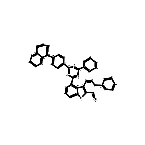 C=Cc1oc2cccc(-c3nc(-c4ccccc4)nc(-c4ccc(-c5cccc6ccccc56)cc4)n3)c2c1/C=C\Cc1ccccc1